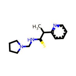 CC(C(=S)NCN1CCCC1)c1ccccn1